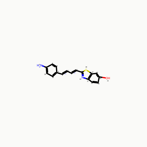 Nc1ccc(/C=C/C=C/c2nc3ccc(O)cc3s2)cc1